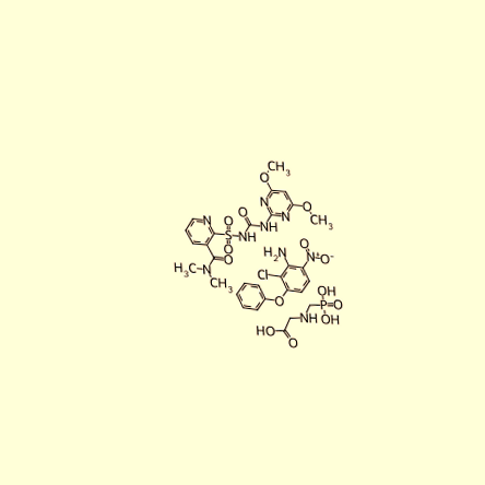 COc1cc(OC)nc(NC(=O)NS(=O)(=O)c2ncccc2C(=O)N(C)C)n1.Nc1c([N+](=O)[O-])ccc(Oc2ccccc2)c1Cl.O=C(O)CNCP(=O)(O)O